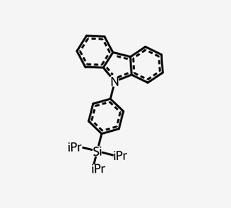 CC(C)[Si](c1ccc(-n2c3ccccc3c3ccccc32)cc1)(C(C)C)C(C)C